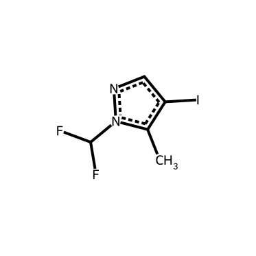 Cc1c(I)cnn1C(F)F